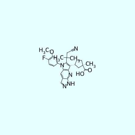 COc1cc(-n2c(C(C)(C)CC#N)c([C@@H]3CC[C@@](C)(C(=O)O)C3)c3nc4[nH]ncc4cc32)ccc1F